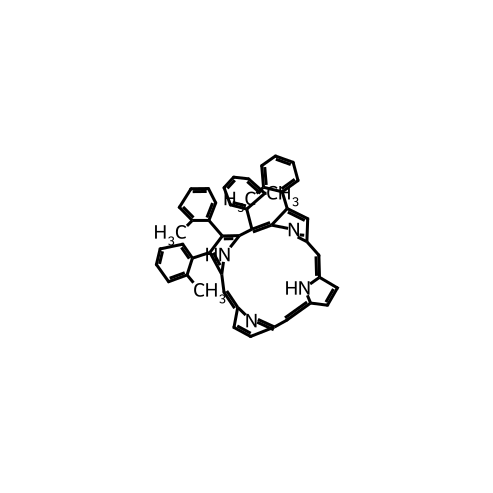 Cc1ccccc1C1=Cc2cc3ccc(cc4nc(cc5[nH]c(c(-c6ccccc6C)c1n2)c(-c1ccccc1C)c5-c1ccccc1C)C=C4)[nH]3